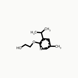 Cc1cnc(OCCO)c(C(C)C)c1